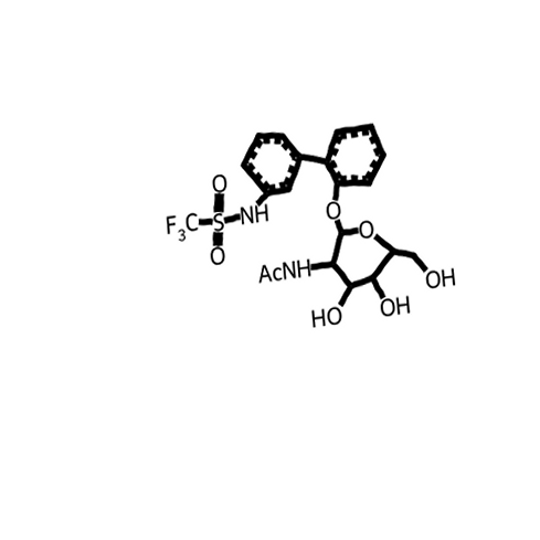 CC(=O)NC1C(Oc2ccccc2-c2cccc(NS(=O)(=O)C(F)(F)F)c2)OC(CO)C(O)C1O